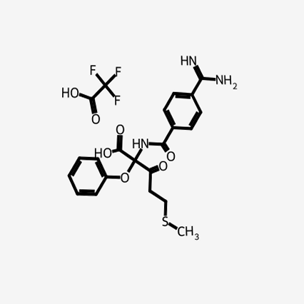 CSCCC(=O)C(NC(=O)c1ccc(C(=N)N)cc1)(Oc1ccccc1)C(=O)O.O=C(O)C(F)(F)F